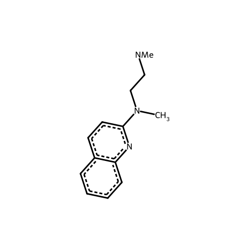 CNCCN(C)c1ccc2ccccc2n1